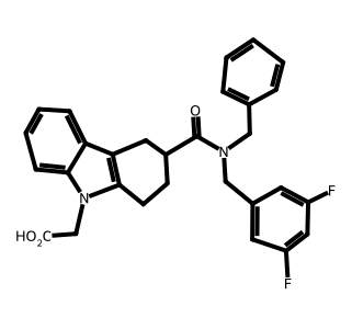 O=C(O)Cn1c2c(c3ccccc31)CC(C(=O)N(Cc1ccccc1)Cc1cc(F)cc(F)c1)CC2